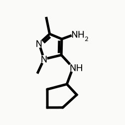 Cc1nn(C)c(NC2CCCC2)c1N